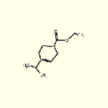 CCOC(=O)N1CC=C(C(C)C)CC1